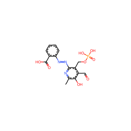 Cc1nc(N=Nc2ccccc2C(=O)O)c(COP(=O)(O)O)c(C=O)c1O